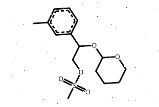 Cc1cccc(C(COS(C)(=O)=O)OC2CCCCO2)c1